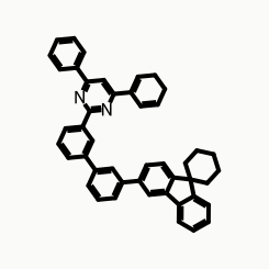 C1=CC(c2cc(-c3ccccc3)nc(-c3cccc(-c4cccc(-c5ccc6c(c5)-c5ccccc5C65CCCCC5)c4)c3)n2)=CCC1